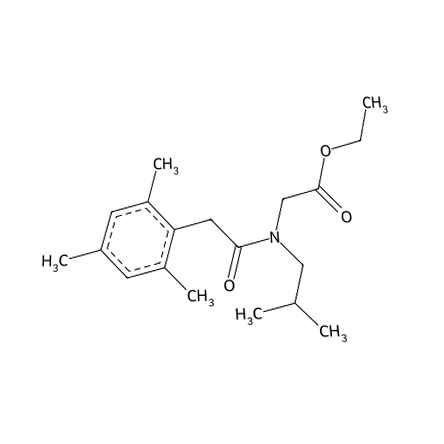 CCOC(=O)CN(CC(C)C)C(=O)Cc1c(C)cc(C)cc1C